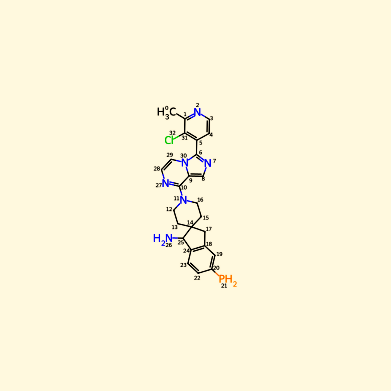 Cc1nccc(-c2ncc3c(N4CCC5(CC4)Cc4cc(P)ccc4C5N)nccn23)c1Cl